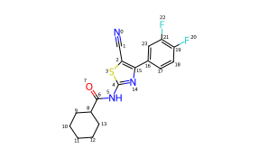 N#Cc1sc(NC(=O)C2CCCCC2)nc1-c1ccc(F)c(F)c1